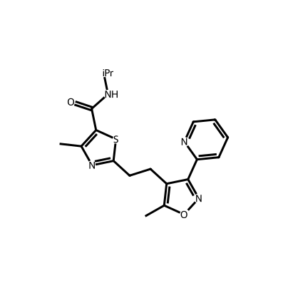 Cc1nc(CCc2c(-c3ccccn3)noc2C)sc1C(=O)NC(C)C